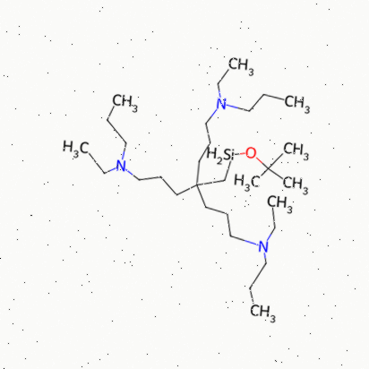 CCCN(CC)CCCC(CCCN(CC)CCC)(CCCN(CC)CCC)C[SiH2]OC(C)(C)C